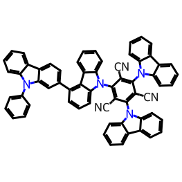 N#Cc1c(-n2c3ccccc3c3ccccc32)c(C#N)c(-n2c3ccccc3c3c(-c4ccc5c6ccccc6n(-c6ccccc6)c5c4)cccc32)c(C#N)c1-n1c2ccccc2c2ccccc21